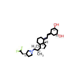 C[C@H](CN1CC[C@@H](CC(F)F)C1)[C@H]1CC[C@H]2/C(=C/C=C3C[C@@H](O)C[C@H](O)C3)CCC[C@]12C